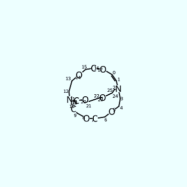 C1=CN2CCOCCOCCN(CCOCCO1)CCOCCOCC2